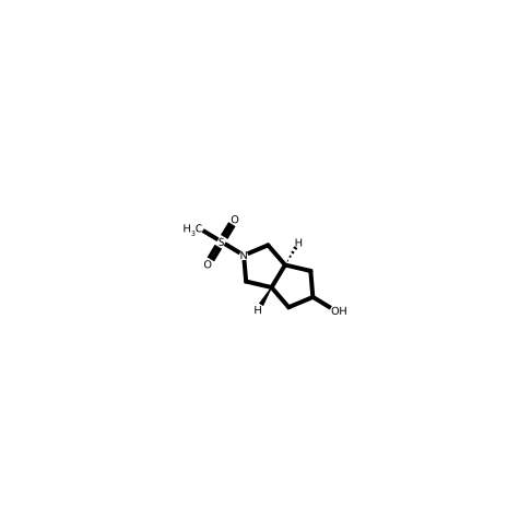 CS(=O)(=O)N1C[C@H]2CC(O)C[C@@H]2C1